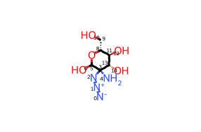 [N-]=[N+]=N[C@]1(N)C(O)O[C@H](CO)[C@@H](O)[C@@H]1O